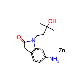 CC(C)(O)CCN1C(=O)Cc2ccc(N)cc21.[Zn]